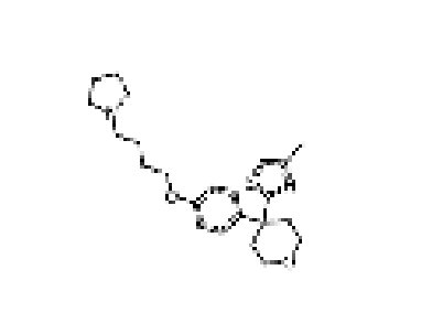 Cc1csc(C2(c3ccc(OCCCCN4CCCC4)cc3)CCOCC2)n1